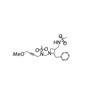 COCC#CCN(CN1CC(CNS(C)(=O)=O)C1Cc1ccccc1)S(C)(=O)=O